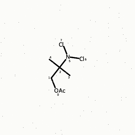 CC(=O)OCC(C)(C)N(Cl)Cl